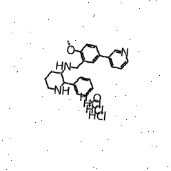 COc1ccc(-c2cccnc2)cc1CNC1CCCNC1c1ccccc1.Cl.Cl.Cl.O